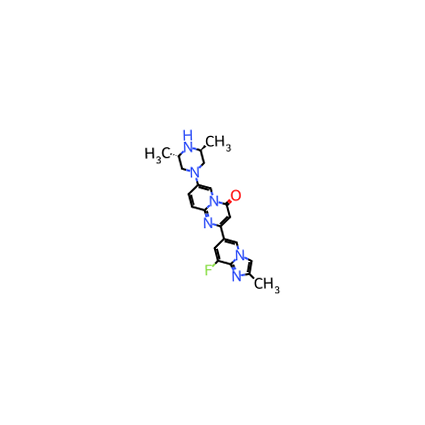 Cc1cn2cc(-c3cc(=O)n4cc(N5C[C@H](C)N[C@@H](C)C5)ccc4n3)cc(F)c2n1